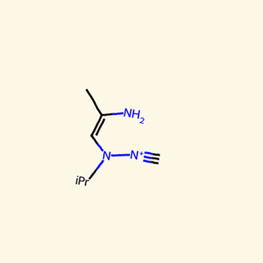 C#[N+]N(/C=C(/C)N)C(C)C